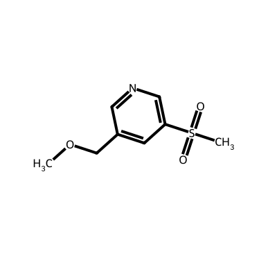 COCc1cncc(S(C)(=O)=O)c1